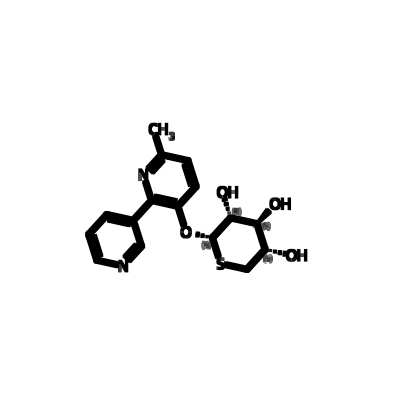 Cc1ccc(O[C@H]2SC[C@@H](O)[C@H](O)[C@H]2O)c(-c2cccnc2)n1